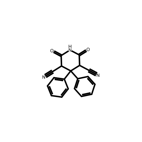 N#CC1C(=O)NC(=O)C(C#N)C1(c1ccccc1)c1ccccc1